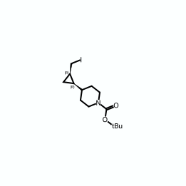 CC(C)(C)OC(=O)N1CCC([C@H]2C[C@H]2CI)CC1